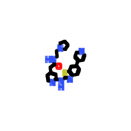 O=C(Cc1ccnc(Nc2nc3ccc(-c4ccncc4)cc3s2)c1)NCCN1CCCC1